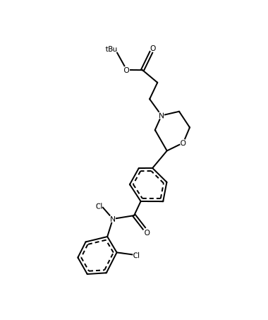 CC(C)(C)OC(=O)CCN1CCOC(c2ccc(C(=O)N(Cl)c3ccccc3Cl)cc2)C1